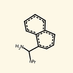 [CH2]CCC(N)c1cccc2ccccc12